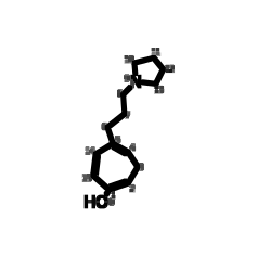 OC1=CCC=C(CCCN2CCCC2)C=C1